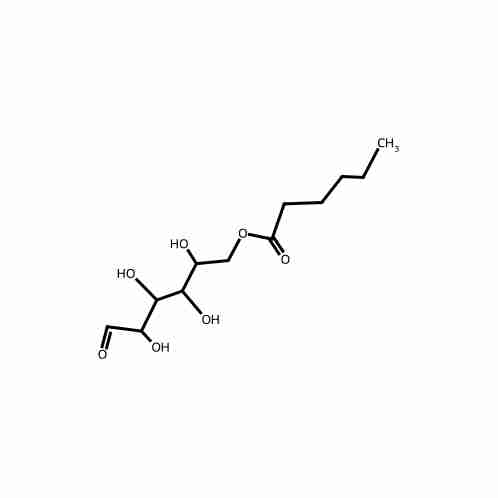 CCCCCC(=O)OCC(O)C(O)C(O)C(O)C=O